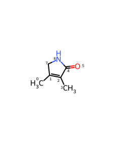 CC1=C(C)C(=O)NC1